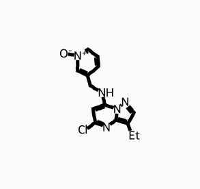 CCc1cnn2c(NCc3ccc[n+]([O-])c3)cc(Cl)nc12